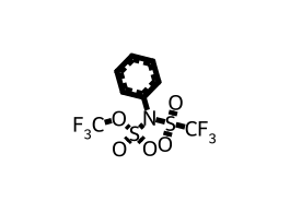 O=S(=O)(OC(F)(F)F)N(c1ccccc1)S(=O)(=O)C(F)(F)F